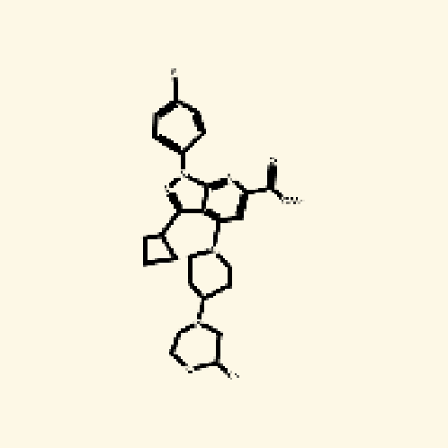 COC(=O)c1cc(N2CCC(N3CCOC(C#N)C3)CC2)c2c(C3CCC3)nn(-c3ccc(F)cc3)c2n1